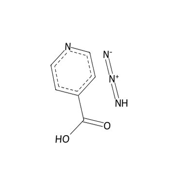 O=C(O)c1ccncc1.[N-]=[N+]=N